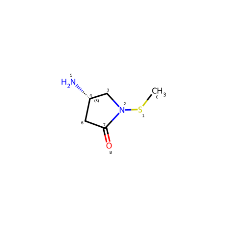 CSN1C[C@@H](N)CC1=O